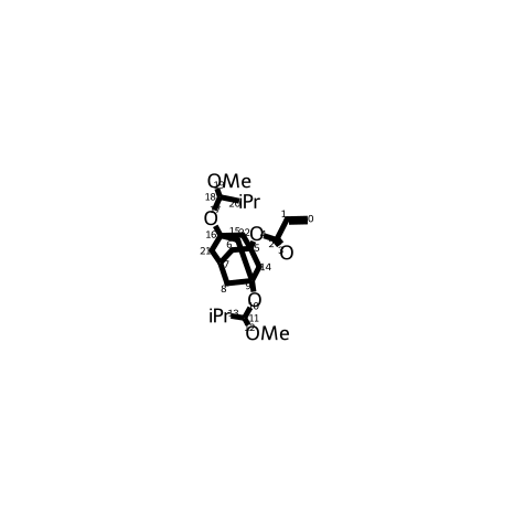 C=CC(=O)OC12CC3CC(OC(OC)C(C)C)(C1)CC(OC(OC)C(C)C)(C3)C2